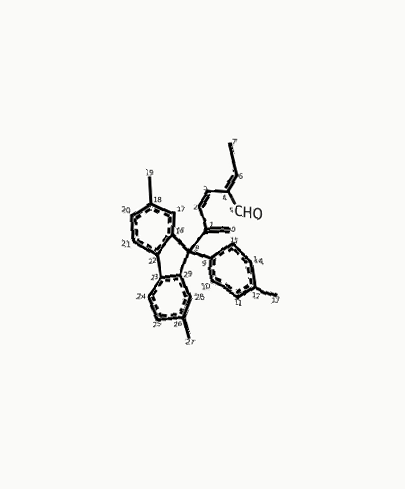 C=C(/C=C\C(C=O)=C/C)C1(c2ccc(C)cc2)c2cc(C)ccc2-c2ccc(C)cc21